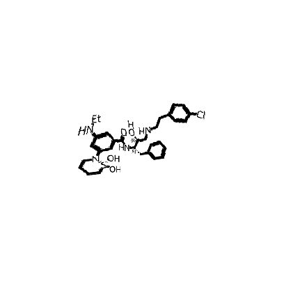 CCNc1cc(C(=O)N[C@@H](Cc2ccccc2)[C@H](O)CNCCc2ccc(Cl)cc2)cc(N2CCCCS2(O)O)c1